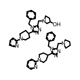 OC1CCN(Cc2nnc(C3CCN(c4ccccn4)CC3)n2Cc2ccccc2)C1.c1ccc(Cn2c(CN3CCCC3)nnc2C2CCN(c3ccccn3)CC2)cc1